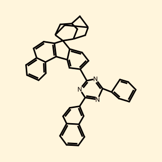 c1ccc(-c2nc(-c3ccc4c(c3)-c3c(ccc5ccccc35)C43C4CC5CC(C4)CC3C5)nc(-c3ccc4ccccc4c3)n2)cc1